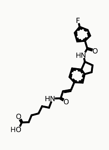 O=C(O)CCCCCNC(=O)C=Cc1ccc2c(c1)CCC2NC(=O)c1ccc(F)cc1